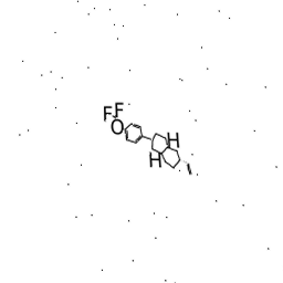 C=C[C@@H]1CC[C@@H]2CC(c3ccc(OC(F)F)cc3)CC[C@@H]2C1